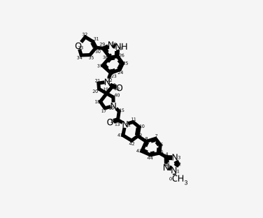 Cn1cnc(-c2ccc(C3=CCN(C(=O)CN4CCC5(CCN(c6ccc7[nH]nc(C8=CCOCC8)c7c6)C5=O)C4)CC3)cc2)n1